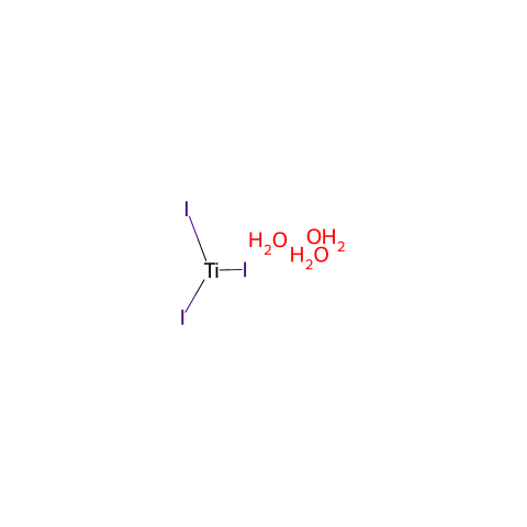 O.O.O.[I][Ti]([I])[I]